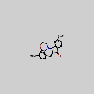 COc1ccc(/C=C2/C(=O)c3ccc(OC)cc3C2N2CCOCC2)cc1